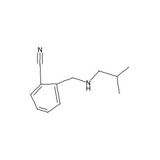 CC(C)CNCc1ccccc1C#N